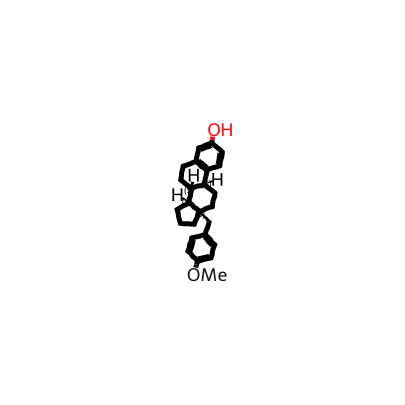 COc1ccc(C[C@@]23CCC[C@H]2[C@@H]2CCc4cc(O)ccc4[C@H]2CC3)cc1